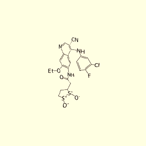 CCOc1cc2ncc(C#N)c(Nc3ccc(F)c(Cl)c3)c2cc1NC(=O)CC1CC[S+]([O-])[S+]1[O-]